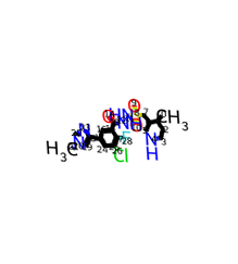 CC1CCNCC1CS(=O)(=O)NNC(=O)c1cc(-c2cn(C)cn2)cc(Cl)c1F